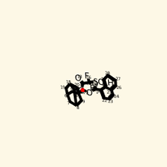 O=C(OCC12CC3CC(C1)C(OC(=O)C(F)(F)S(=O)(=O)O)C(C3)C2)c1cccc2ccccc12